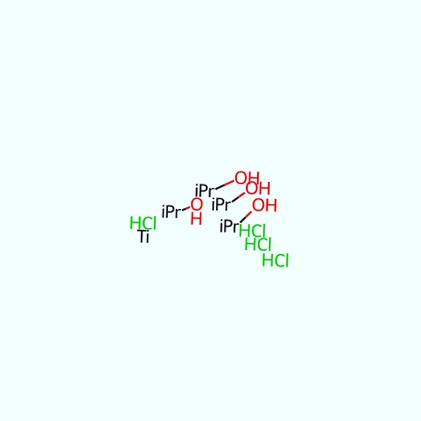 CC(C)O.CC(C)O.CC(C)O.CC(C)O.Cl.Cl.Cl.Cl.[Ti]